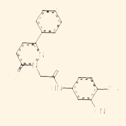 N#Cc1cc(NC(=O)Cn2nc(-c3ccccc3)ccc2=O)ccc1F